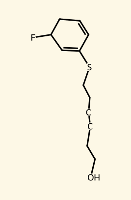 OCCCCCCSC1=CC(F)CC=C1